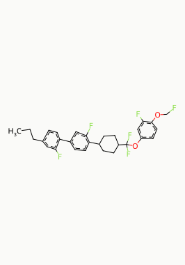 CCCc1ccc(-c2ccc(C3CCC(C(F)(F)Oc4ccc(OCF)c(F)c4)CC3)c(F)c2)c(F)c1